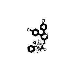 NC(=O)N(Cc1cnc(-c2ccc(Cl)cc2)c(-c2ccc(Cl)cc2)c1)NS(=O)(=O)c1ccccc1